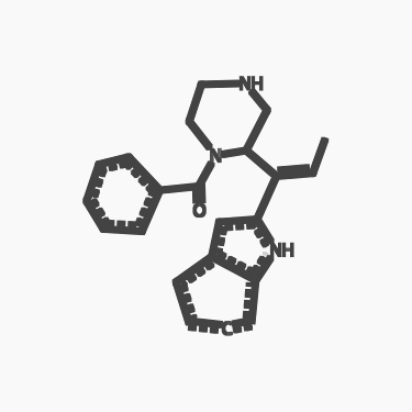 CC=C(c1cc2ccccc2[nH]1)C1CNCCN1C(=O)c1ccccc1